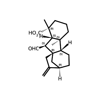 C=C1C[C@]23C[C@H]1CC[C@H]2[C@]1(C)CCC[C@@](C)(C(=O)O)[C@H]1[C@@H]3C=O